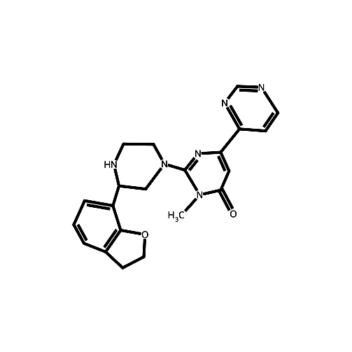 Cn1c(N2CCNC(c3cccc4c3OCC4)C2)nc(-c2ccncn2)cc1=O